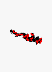 C1=CC2C=CC=C(c3c4ccccc4c(-c4cccc(-c5cc6sc7ccccc7c6c6c5C5Oc7cccc(-c8ccc(-c9c%10ccccc%10c(-c%10cccc(-c%11ccc%12sc%13cc%14c(ccc%15c%16ccccc%16oc%14%15)cc%13c%12c%11)c%10)c%10ccccc9%10)c9ccccc89)c7C5C=C6)c4)c4ccccc34)C2C=C1